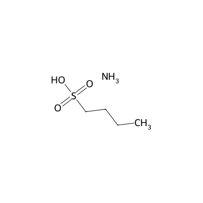 CCCCS(=O)(=O)O.N